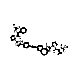 COC(=O)N[C@H](C(=O)N1CCC[C@H]1c1nc2c([nH]1)-c1ccc(C#Cc3ccc(-c4cnc([C@@H]5CCCN5C(=O)[C@@H](NC(=O)OC)C5CCCCC5)[nH]4)cc3)cc1CCC2)C(C)C